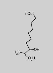 CCCCCCCCCCCCCCC(O)C(C)C(=O)O